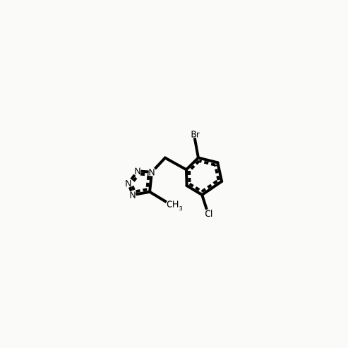 Cc1nnnn1Cc1cc(Cl)ccc1Br